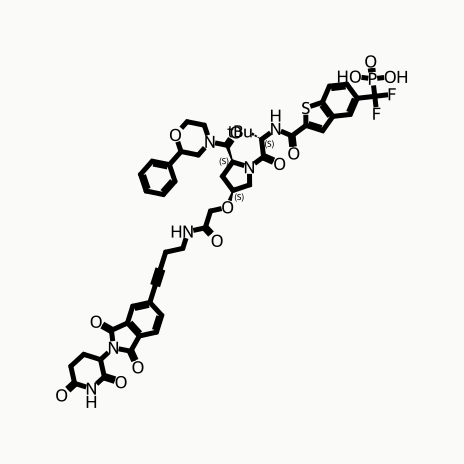 CC(C)(C)[C@H](NC(=O)c1cc2cc(C(F)(F)P(=O)(O)O)ccc2s1)C(=O)N1C[C@@H](OCC(=O)NCCC#Cc2ccc3c(c2)C(=O)N(C2CCC(=O)NC2=O)C3=O)C[C@H]1C(=O)N1CCOC(c2ccccc2)C1